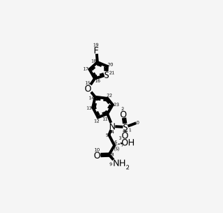 CS(=O)(=O)N(C[C@H](O)C(N)=O)c1ccc(Oc2cc(F)cs2)cc1